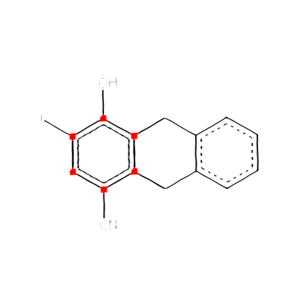 N#Cc1cc(I)c(O)c2c1C1c3ccccc3C2c2ccccc21